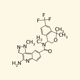 CN(C(=O)c1ccc2nc(N)c3cnn(C)c3c2c1)C1COC(C)(C)c2cc(C(F)(F)F)ccc21